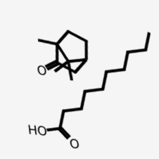 CC12CCC(CC1=O)C2(C)C.CCCCCCCCCC(=O)O